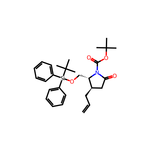 C=CC[C@@H]1CC(=O)N(C(=O)OC(C)(C)C)[C@H]1CO[Si](c1ccccc1)(c1ccccc1)C(C)(C)C